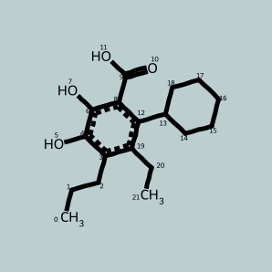 CCCc1c(O)c(O)c(C(=O)O)c(C2CCCCC2)c1CC